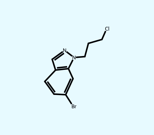 ClCCCn1ncc2ccc(Br)cc21